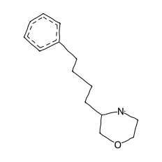 c1ccc(CCCCC2COCC[N]2)cc1